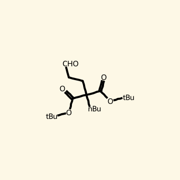 CCCCC(CCC=O)(C(=O)OC(C)(C)C)C(=O)OC(C)(C)C